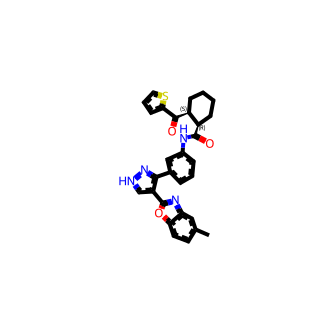 Cc1ccc2oc(-c3c[nH]nc3-c3cccc(NC(=O)[C@@H]4CCCC[C@@H]4C(=O)c4cccs4)c3)nc2c1